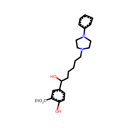 CCOC(=O)c1cc(C(O)CCCCCN2CCN(c3ccccc3)CC2)ccc1O